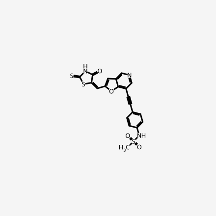 CS(=O)(=O)Nc1ccc(C#Cc2cncc3cc(C=C4SC(=S)NC4=O)oc23)cc1